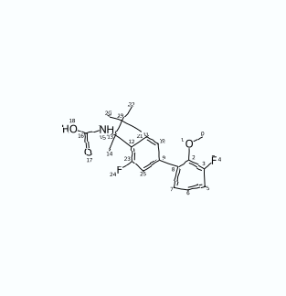 COc1c(F)cccc1-c1ccc(C(C)(NC(=O)O)C(C)(C)C)c(F)c1